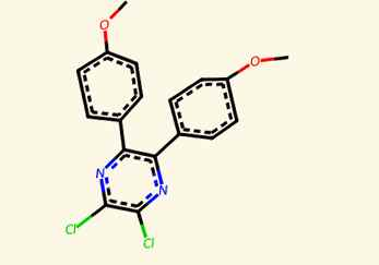 COc1ccc(-c2nc(Cl)c(Cl)nc2-c2ccc(OC)cc2)cc1